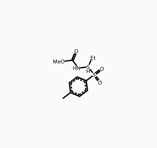 CC[SH](NC(=O)OC)S(=O)(=O)c1ccc(C)cc1